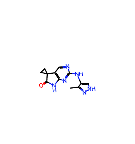 Cc1n[nH]cc1Nc1ncc2c(n1)NC(=O)C21CC1